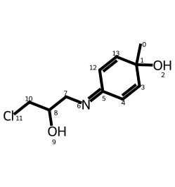 CC1(O)C=CC(=NCC(O)CCl)C=C1